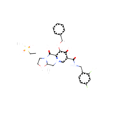 CS(=O)(=O)CC[C@H]1CO[C@@H]2Cn3cc(C(=O)NCc4ccc(F)cc4F)c(=O)c(OCc4ccccc4)c3C(=O)N12